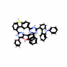 c1ccc(-c2nc(-c3ccc4sc5cccc(-c6nc(-c7ccccc7)c7oc8ccccc8c7n6)c5c4c3)nc(-c3cccc4c3c3ccccc3n4-c3ccccc3)n2)cc1